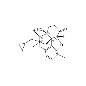 Cc1ccc2c3c1O[C@H]1C(=O)CC[C@@]4(O)[C@@H](C2)[N+](C)(CC2CC2)CC[C@]314